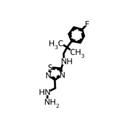 CC(C)(CNc1nc(CNN)ns1)c1ccc(F)cc1